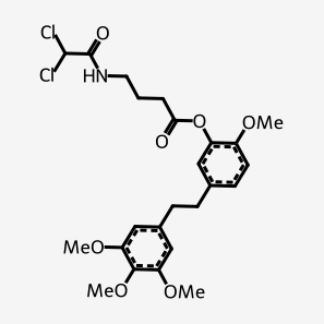 COc1ccc(CCc2cc(OC)c(OC)c(OC)c2)cc1OC(=O)CCCNC(=O)C(Cl)Cl